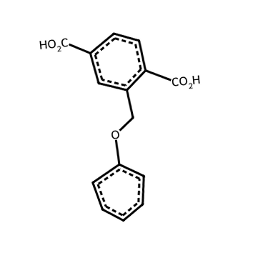 O=C(O)c1ccc(C(=O)O)c(COc2ccccc2)c1